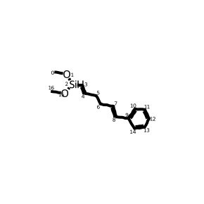 CO[SiH](C=CCCC=Cc1ccccc1)OC